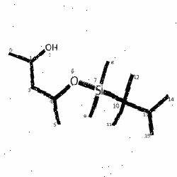 CC(O)CC(C)O[Si](C)(C)C(C)(C)C(C)C